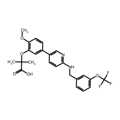 COc1ccc(-c2ccc(NCc3cccc(OC(F)(F)F)c3)nc2)cc1OC(C)(C)C(=O)O